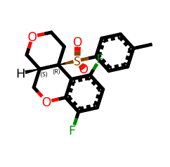 Cc1ccc(S(=O)(=O)[C@]23CCOC[C@H]2COc2c(F)ccc(F)c23)cc1